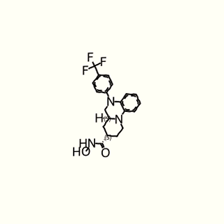 O=C(NO)[C@H]1CCN2c3ccccc3N(c3ccc(C(F)(F)F)cc3)C[C@@H]2C1